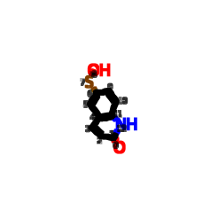 O=c1ccc2cc(SO)ccc2[nH]1